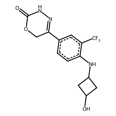 O=C1NN=C(c2ccc(NC3CC(O)C3)c(C(F)(F)F)c2)CO1